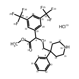 COC(=O)C(OCC1(c2ccccc2)CCNCC1)c1cc(C(F)(F)F)cc(C(F)(F)F)c1.Cl